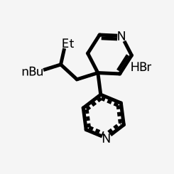 Br.CCCCC(CC)CC1(c2ccncc2)C=CN=CC1